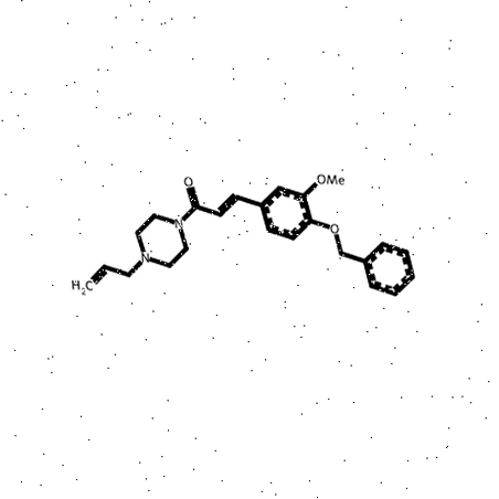 C=CCN1CCN(C(=O)C=Cc2ccc(OCc3ccccc3)c(OC)c2)CC1